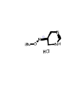 CCC(C)O/N=C1/CN=CNC1.Cl